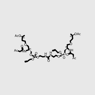 C=CCOP(=O)(OCCNC(=O)NCCOP(=O)(OCC=C)OC[C@@H](COCC[C@@H](C)OC(C)=O)NC(=O)CC(C)=O)OC[C@@H](COCC[C@@H](C)OC(C)=O)NC(=O)CC(C)=O